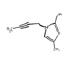 CC#CCn1cc(C)nc1C(C)C